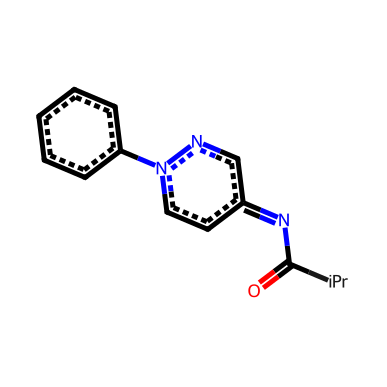 CC(C)C(=O)N=c1ccn(-c2ccccc2)nc1